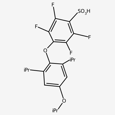 CC(C)Oc1cc(C(C)C)c(Oc2c(F)c(F)c(S(=O)(=O)O)c(F)c2F)c(C(C)C)c1